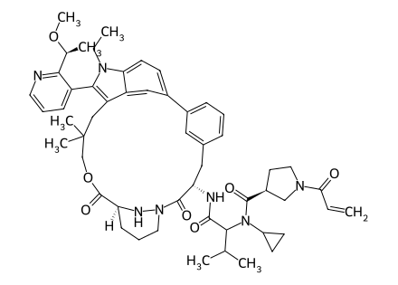 C=CC(=O)N1CC[C@H](C(=O)N(C2CC2)C(C(=O)N[C@H]2Cc3cccc(c3)-c3ccc4c(c3)c(c(-c3cccnc3[C@H](C)OC)n4CC)CC(C)(C)COC(=O)[C@@H]3CCCN(N3)C2=O)C(C)C)C1